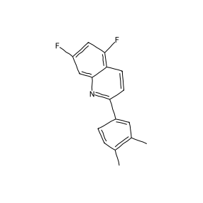 Cc1ccc(-c2ccc3c(F)cc(F)cc3n2)cc1C